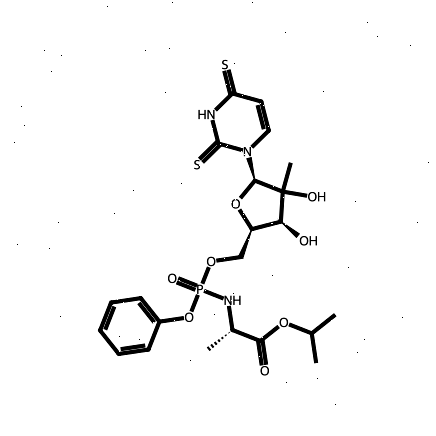 CC(C)OC(=O)[C@H](C)NP(=O)(OC[C@H]1O[C@@H](n2ccc(=S)[nH]c2=S)C(C)(O)[C@H]1O)Oc1ccccc1